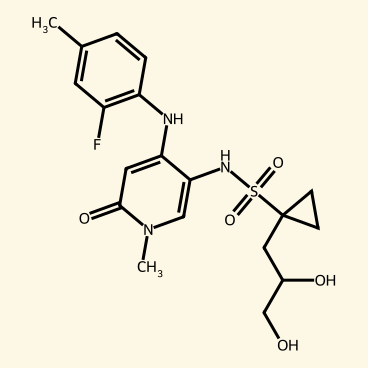 Cc1ccc(Nc2cc(=O)n(C)cc2NS(=O)(=O)C2(CC(O)CO)CC2)c(F)c1